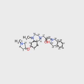 CN1CCC(Oc2ccc3c(c2)N(C)CCN(C[C@H](O)CN2CCc4ccccc4C2)C3)C1